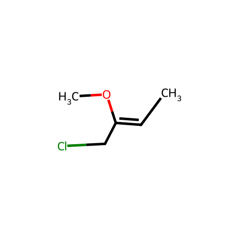 CC=C(CCl)OC